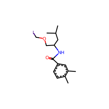 Cc1ccc(C(=O)NC(COCI)CC(C)C)cc1C